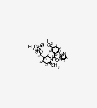 Cc1ccc(-n2nccn2)c(C(=O)N2C[C@H](COS(C)(=O)=O)CC[C@H]2C)c1